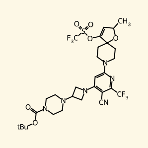 CC1C=C(OS(=O)(=O)C(F)(F)F)C2(CCN(c3cc(N4CC(N5CCN(C(=O)OC(C)(C)C)CC5)C4)c(C#N)c(C(F)(F)F)n3)CC2)O1